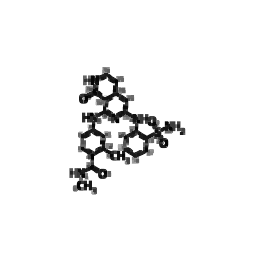 CNC(=O)c1ccc(Nc2nc(Nc3ccccc3S(N)(=O)=O)cc3cc[nH]c(=O)c23)cc1C